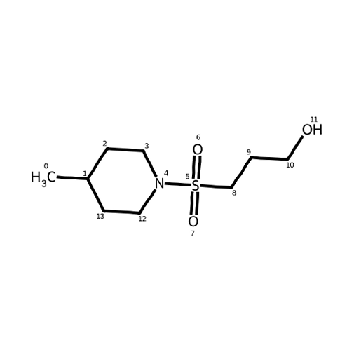 CC1CCN(S(=O)(=O)CCCO)CC1